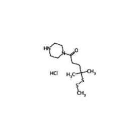 CSSC(C)(C)CCC(=O)N1CCNCC1.Cl